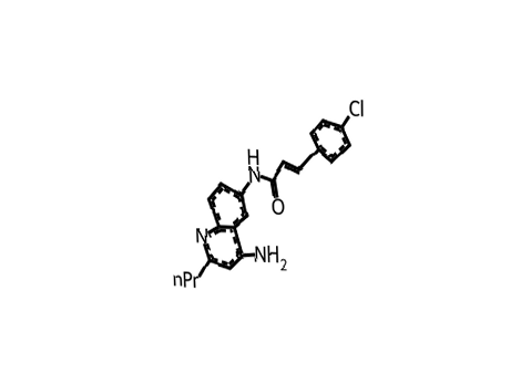 CCCc1cc(N)c2cc(NC(=O)C=Cc3ccc(Cl)cc3)ccc2n1